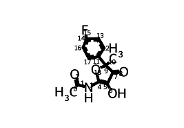 CC(=O)NC1=C(O)C(=O)C(C)(c2ccc(F)cc2)O1